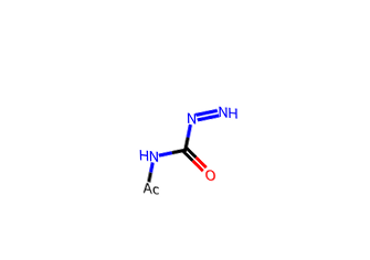 CC(=O)NC(=O)N=N